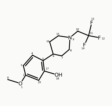 COc1ccc(C2CCN(CC(F)(F)F)CC2)c(O)c1